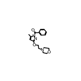 Cc1cc(OCCN2CCOCC2)nn1C(=O)c1ccccc1